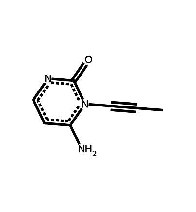 CC#Cn1c(N)ccnc1=O